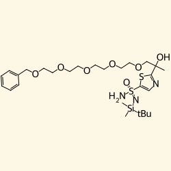 CC(O)(COCCOCCOCCOCCOCc1ccccc1)c1ncc(S(N)(=O)=N[Si](C)(C)C(C)(C)C)s1